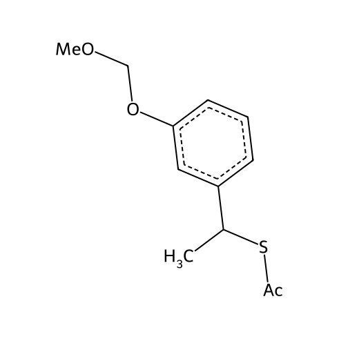 COCOc1cccc(C(C)SC(C)=O)c1